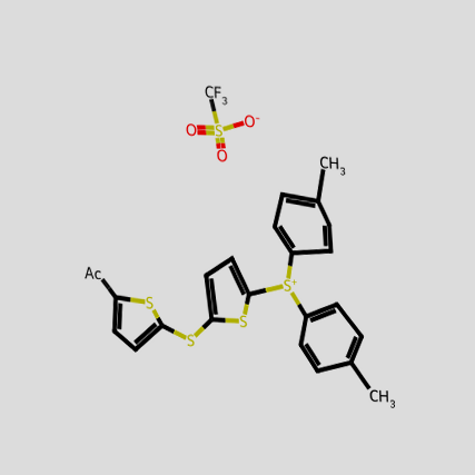 CC(=O)c1ccc(Sc2ccc([S+](c3ccc(C)cc3)c3ccc(C)cc3)s2)s1.O=S(=O)([O-])C(F)(F)F